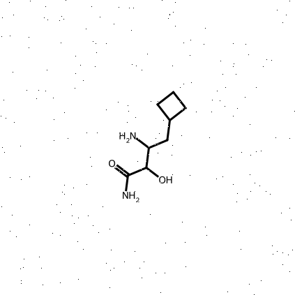 NC(=O)C(O)C(N)CC1CCC1